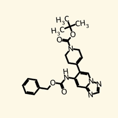 CC(C)(C)OC(=O)N1CC=C(c2cn3ncnc3cc2NC(=O)OCc2ccccc2)CC1